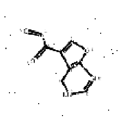 O=NC(=O)c1coc2c1CNC=N2